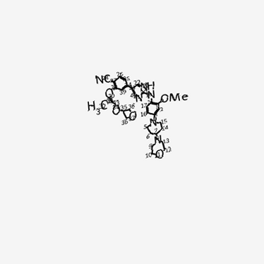 COc1cc(N2CCC(N3CCOCC3)CC2)ccc1Nc1ncc(-c2ccc(C#N)c(O[C@@H](C)COC3COC3)c2)cn1